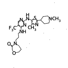 Cc1nc(C2CCN(C)CC2)sc1Nc1ncc(C(F)(F)F)c(NCCCN2CCCOCC2=O)n1